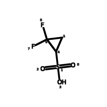 O=S(=O)(O)C1CC1(F)F